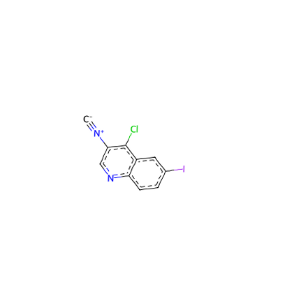 [C-]#[N+]c1cnc2ccc(I)cc2c1Cl